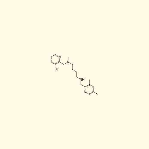 Cc1cnc(CNCCCCN(C)Cc2ncccc2C(C)C)c(C)c1